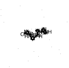 O=C(Nc1cccc(CNC(=O)c2sccc2Nc2ccnc3[nH]ccc23)c1)c1ccnc(Cl)c1